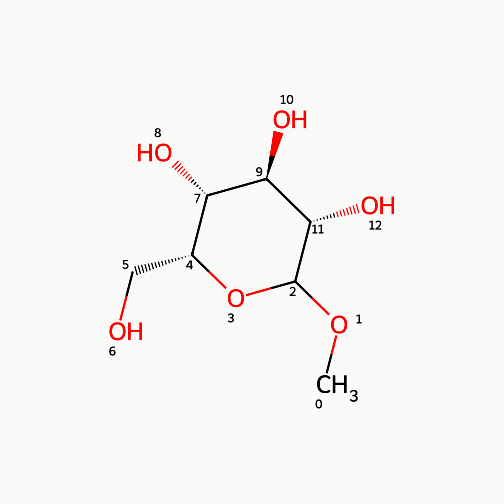 COC1O[C@H](CO)[C@H](O)[C@@H](O)[C@@H]1O